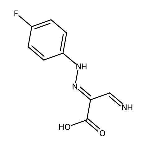 N=C/C(=N\Nc1ccc(F)cc1)C(=O)O